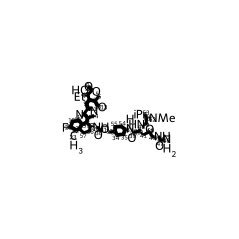 CC[C@@]1(O)C(=O)OCc2c1cc1n(c2=O)Cc2c-1nc1cc(F)c(C)c3c1c2[C@@H](NC(=O)OCc1ccc(NC(=O)[C@H](CCCNC(N)=O)NC(=O)[C@@H](NC)C(C)C)cc1)CC3